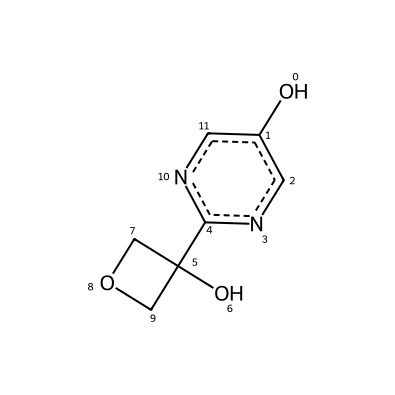 Oc1cnc(C2(O)COC2)nc1